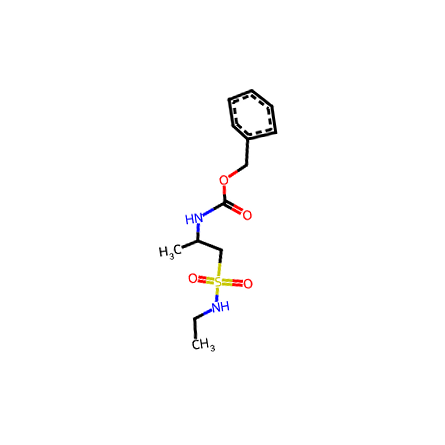 CCNS(=O)(=O)CC(C)NC(=O)OCc1ccccc1